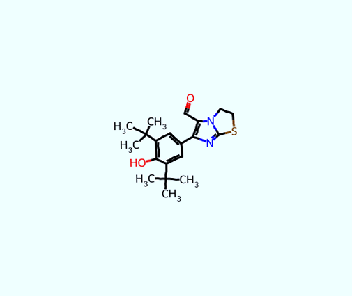 CC(C)(C)c1cc(-c2nc3n(c2C=O)CCS3)cc(C(C)(C)C)c1O